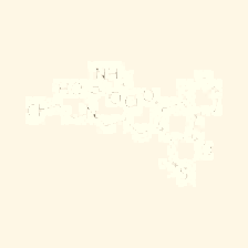 NP(=O)(O)N(CCCl)CC(Cl)CC1=C(C=S)C(=O)c2ccccc2C1=O